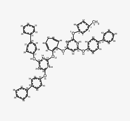 Cc1ccc(Oc2nc(OC3=C(Oc4nc(Oc5ccc(-c6ccccc6)cc5)nc(Oc5ccc(-c6ccccc6)cc5)n4)C=CCC=C3)nc(Oc3ccc(-c4ccccc4)cc3)n2)cc1